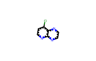 Clc1ccnc2nccnc12